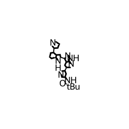 CC(C)(C)C(=O)Nc1cncc(-c2cnc3[nH]nc(-c4cc5c(-c6cccnc6)cccc5[nH]4)c3c2)c1